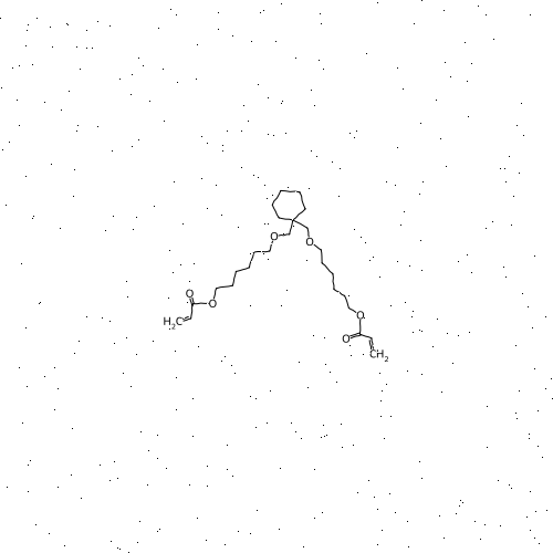 C=CC(=O)OCCCCCCOCC1(COCCCCCCOC(=O)C=C)CCCCC1